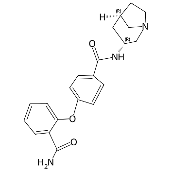 NC(=O)c1ccccc1Oc1ccc(C(=O)N[C@@H]2C[C@H]3CCN(C3)C2)cc1